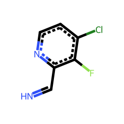 N=Cc1nccc(Cl)c1F